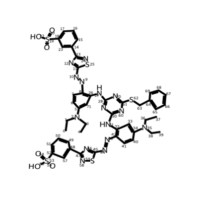 CCN(CC)c1ccc(/N=N/c2nc(-c3cccc(S(=O)(=O)O)c3)ns2)c(Nc2nc(Nc3cc(N(CC)CC)ccc3/N=N/c3nc(-c4cccc(S(=O)(=O)O)c4)ns3)nc(SCc3ccccc3)n2)c1